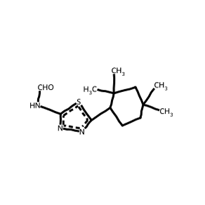 CC1(C)CCC(c2nnc(NC=O)s2)C(C)(C)C1